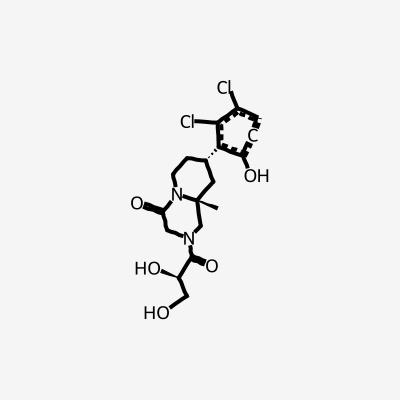 C[C@]12C[C@@H](c3c(O)ccc(Cl)c3Cl)CCN1C(=O)CN(C(=O)[C@H](O)CO)C2